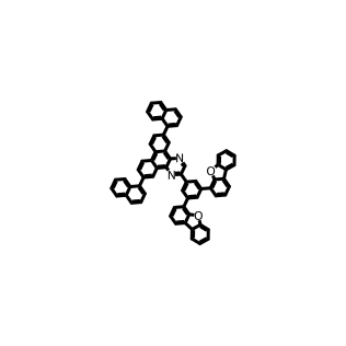 c1ccc2c(-c3ccc4c5ccc(-c6cccc7ccccc67)cc5c5nc(-c6cc(-c7cccc8c7oc7ccccc78)cc(-c7cccc8c7oc7ccccc78)c6)cnc5c4c3)cccc2c1